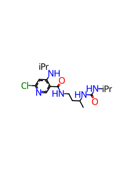 CC(C)NC(=O)NC(C)CCNC(=O)c1cnc(Cl)cc1NC(C)C